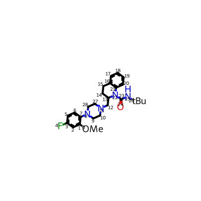 COc1cc(F)ccc1N1CCN(CC2CCc3ccccc3N2C(=O)NC(C)(C)C)CC1